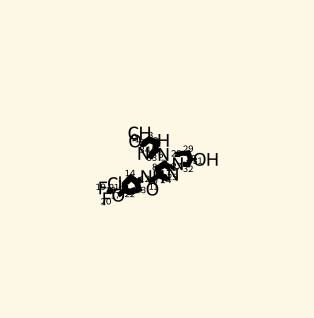 COc1ccc(Nc2cc(C(=O)Nc3ccc(OC(F)(F)Cl)cc3)cnc2N2CC[C@@H](O)C2)cn1